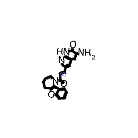 NC1Cc2cc(/C=C/C(=O)N3CCCCc4oc5ccccc5c43)cnc2NC1=O